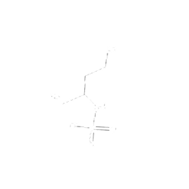 CC(C)CCC(C)NS(=O)(=O)[O-].[Na+]